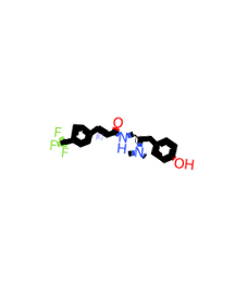 CN(C)[C@H](CNC(=O)/C=C/c1ccc(C(F)(F)F)cc1)Cc1ccc(O)cc1